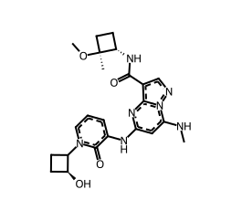 CNc1cc(Nc2cccn(C3CC[C@@H]3O)c2=O)nc2c(C(=O)N[C@H]3CC[C@]3(C)OC)cnn12